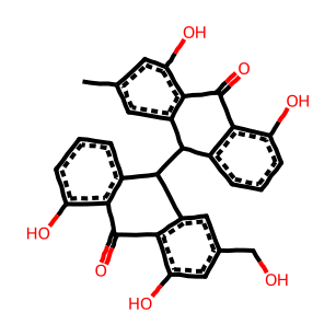 Cc1cc(O)c2c(c1)C(C1c3cccc(O)c3C(=O)c3c(O)cc(CO)cc31)c1cccc(O)c1C2=O